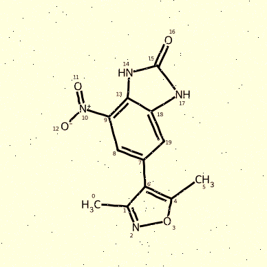 Cc1noc(C)c1-c1cc([N+](=O)[O-])c2[nH]c(=O)[nH]c2c1